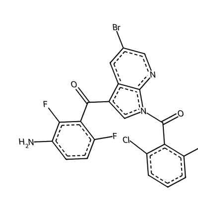 Nc1ccc(F)c(C(=O)c2cn(C(=O)c3c(Cl)cccc3Cl)c3ncc(Br)cc23)c1F